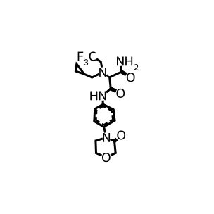 NC(=O)[C@@H](C(=O)Nc1ccc(N2CCOCC2=O)cc1)N(CC1CC1)CC(F)(F)F